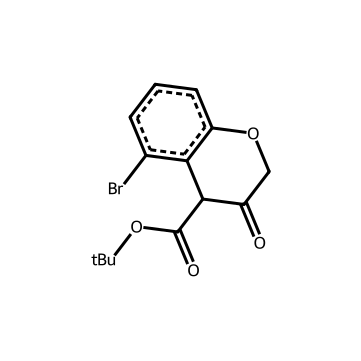 CC(C)(C)OC(=O)C1C(=O)COc2cccc(Br)c21